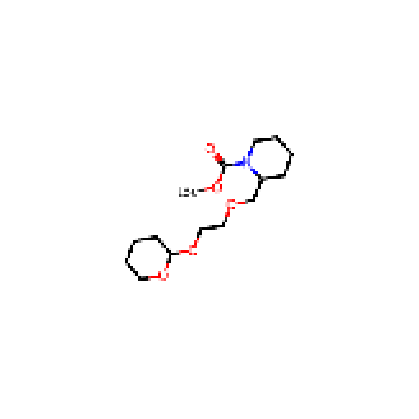 CC(C)(C)OC(=O)N1CCCCC1COCCOC1CCCCO1